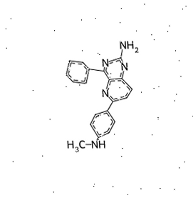 CNc1ccc(-c2ccc3nc(N)nc(-c4ccccc4)c3n2)cc1